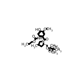 C=CCOC(=O)Nc1cc(O)c(OC)cc1C(=O)N1CC(=C)C[C@H]1CO[Si](C)(C)C(C)(C)C